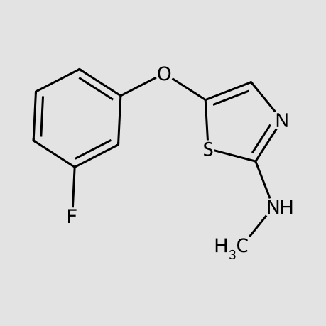 CNc1ncc(Oc2cccc(F)c2)s1